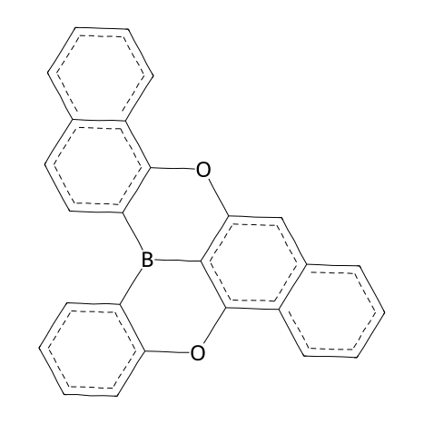 c1ccc2c(c1)Oc1c3c(cc4ccccc14)Oc1c(ccc4ccccc14)B23